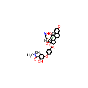 CN(C)C(=O)c1ccc(Oc2ccc(C(=O)O[C@]3(C(=O)SCC#N)CCC4C5CCC6=CC(=O)C=C[C@]6(C)C5(F)[C@@H](O)C[C@@]43C)cc2)cc1O